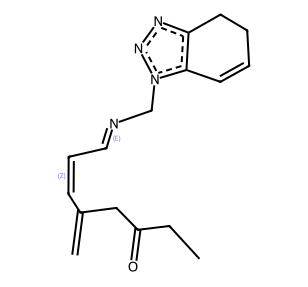 C=C(/C=C\C=N\Cn1nnc2c1C=CCC2)CC(=O)CC